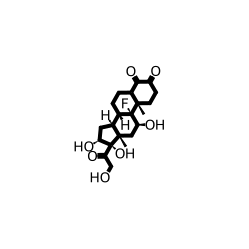 C[C@]12CCC(=O)C(=O)C1CC[C@H]1[C@@H]3C[C@@H](O)[C@](O)(C(=O)CO)[C@@]3(C)C[C@H](O)[C@@]12F